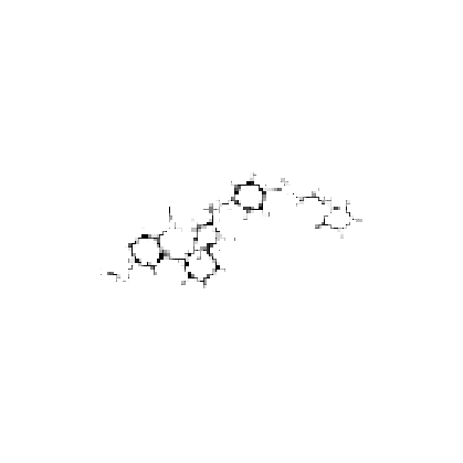 COc1ccc(OC)c(-c2cccc3nc(Nc4ccc(OCCN5CCCC5)cc4)nn23)c1